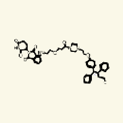 O=C1CCC(N2C(=O)c3cccc(NCCOCCC(=O)N4CCN(CCOc5ccc(/C(=C(/CCCl)c6ccccc6)c6ccccc6)cc5)CC4)c3C2=O)C(=O)N1